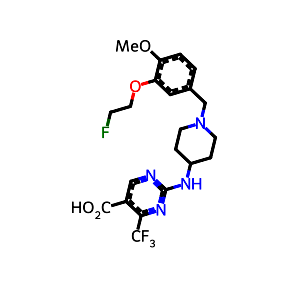 COc1ccc(CN2CCC(Nc3ncc(C(=O)O)c(C(F)(F)F)n3)CC2)cc1OCCF